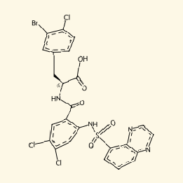 O=C(N[C@@H](Cc1ccc(Cl)c(Br)c1)C(=O)O)c1cc(Cl)c(Cl)cc1NS(=O)(=O)c1cccc2nccnc12